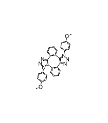 COc1ccc(-n2nnc3c2-c2ccccc2-c2nnn(-c4ccc(OC)cc4)c2-c2ccccc2-3)cc1